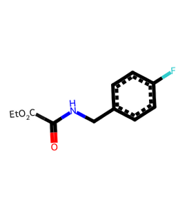 CCOC(=O)C(=O)NCc1ccc(F)cc1